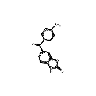 Cc1ccc(C(=O)c2ccc3[nH]c(=S)oc3c2)cc1